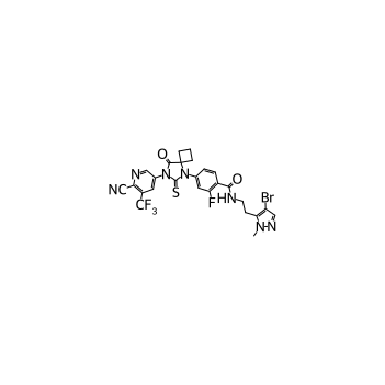 Cn1ncc(Br)c1CCNC(=O)c1ccc(N2C(=S)N(c3cnc(C#N)c(C(F)(F)F)c3)C(=O)C23CCC3)cc1F